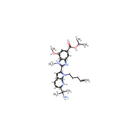 C=CCCCn1c(-c2nc3cc(C(=O)OC(C)C)cc(OC)c3n2C)cc2ccc(C(C)(C)N)nc21